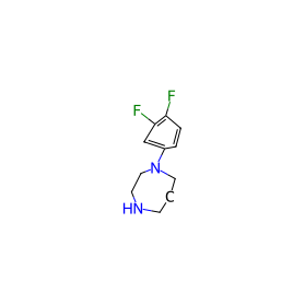 Fc1ccc(N2CCCNCC2)cc1F